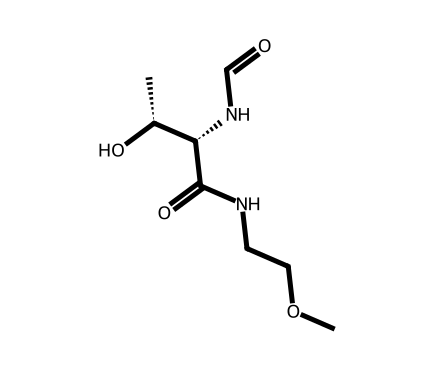 COCCNC(=O)[C@@H](NC=O)[C@@H](C)O